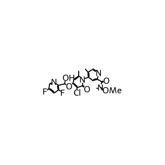 CON(C)C(=O)c1cc(-n2c(C)cc(OC(O)c3ncc(F)cc3F)c(Cl)c2=O)c(C)cn1